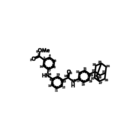 COC(=O)c1cccc(Nc2cccc(C(=O)Nc3ccc(C45CC6CC(CC(C6)C4)C5)cc3)c2)c1